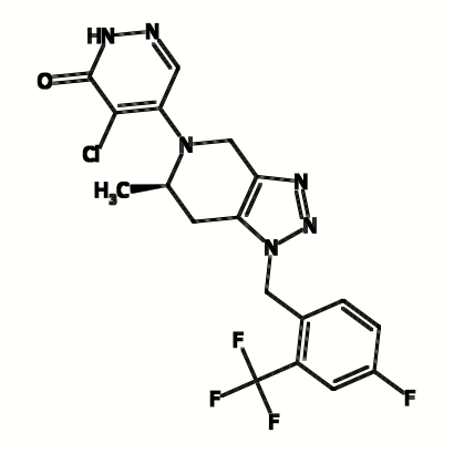 C[C@@H]1Cc2c(nnn2Cc2ccc(F)cc2C(F)(F)F)CN1c1cn[nH]c(=O)c1Cl